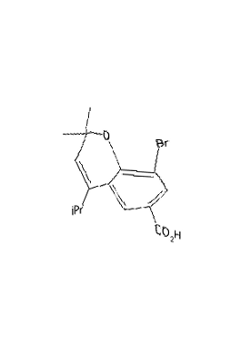 CC(C)C1=CC(C)(C)Oc2c(Br)cc(C(=O)O)cc21